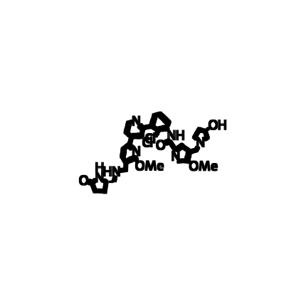 COc1cnc(C(=O)Nc2cccc(-c3nccc(-c4ccc(CNC[C@@H]5CCC(=O)N5)c(OC)n4)c3Cl)c2Cl)cc1CN1CC[C@@H](O)C1